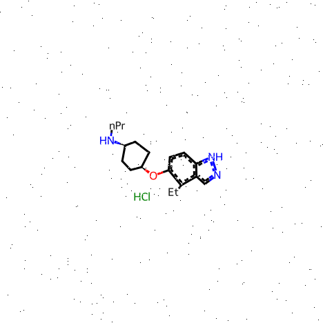 CCCN[C@H]1CC[C@@H](Oc2ccc3[nH]ncc3c2CC)CC1.Cl